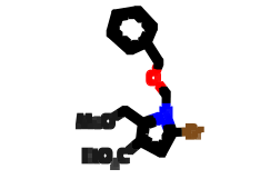 CCOC(=O)c1cc(Br)n(COCc2ccccc2)c1COC